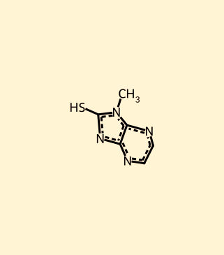 Cn1c(S)nc2nccnc21